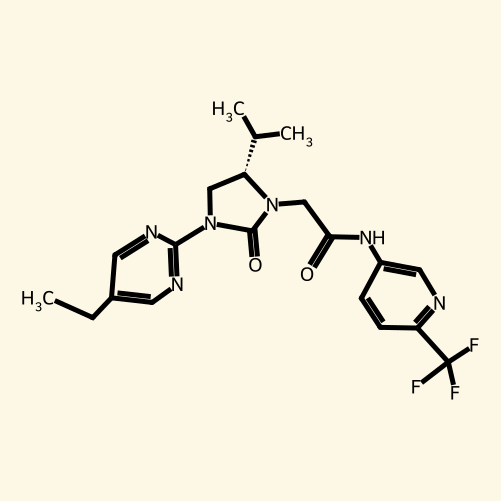 CCc1cnc(N2C[C@H](C(C)C)N(CC(=O)Nc3ccc(C(F)(F)F)nc3)C2=O)nc1